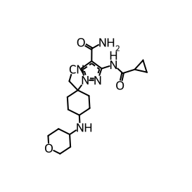 N#CCC1(n2cc(C(N)=O)c(NC(=O)C3CC3)n2)CCC(NC2CCOCC2)CC1